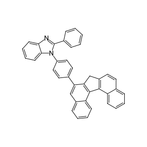 c1ccc(-c2nc3ccccc3n2-c2ccc(-c3cc4ccccc4c4c3Cc3ccc5ccccc5c3-4)cc2)cc1